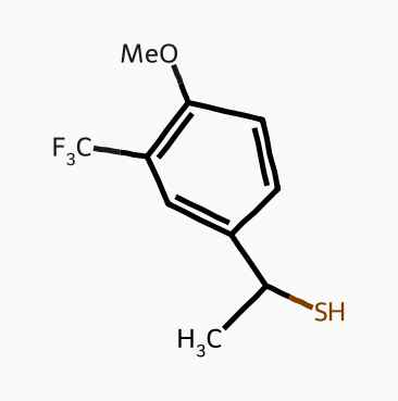 COc1ccc(C(C)S)cc1C(F)(F)F